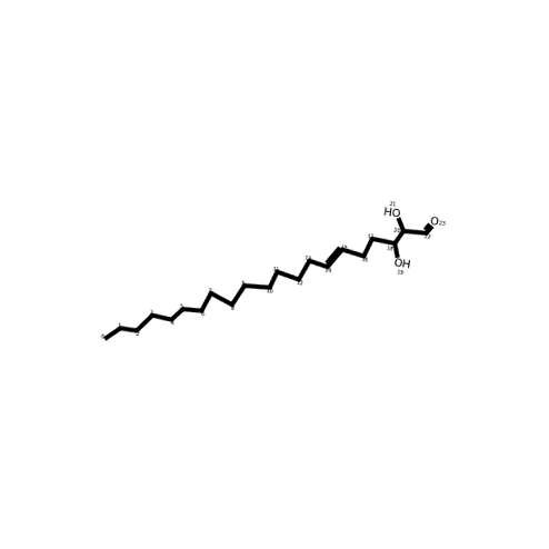 CCCCCCCCCCCCCCC=CCCC(O)C(O)C=O